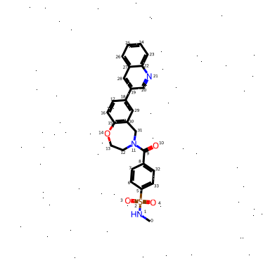 CNS(=O)(=O)c1ccc(C(=O)N2CCOc3ccc(-c4cnc5ccccc5c4)cc3C2)cc1